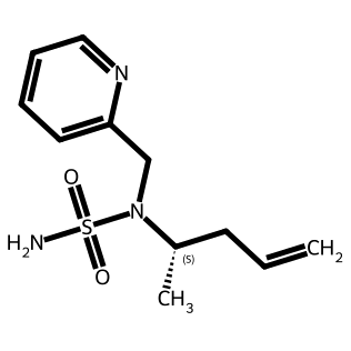 C=CC[C@H](C)N(Cc1ccccn1)S(N)(=O)=O